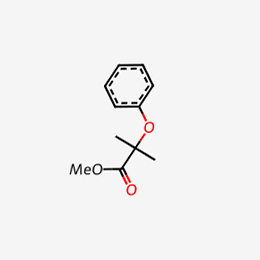 COC(=O)C(C)(C)Oc1ccccc1